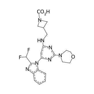 O=C(O)N1CC(CNc2cc(-n3c(C(F)F)nc4ccccc43)nc(N3CCOCC3)n2)C1